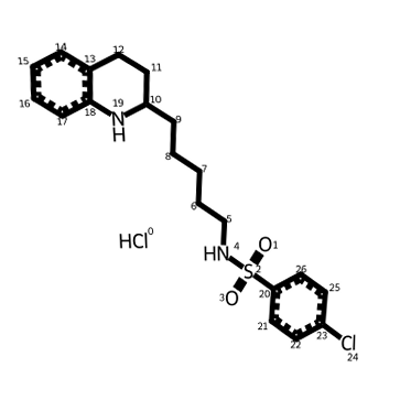 Cl.O=S(=O)(NCCCCCC1CCc2ccccc2N1)c1ccc(Cl)cc1